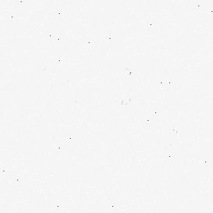 CC(=O)N1CCc2ccc(NC(=O)c3ccc(/C=C/C(F)(F)F)cc3C)cc21